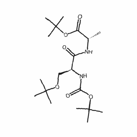 C[C@H](NC(=O)[C@H](COC(C)(C)C)NC(=O)OC(C)(C)C)C(=O)OC(C)(C)C